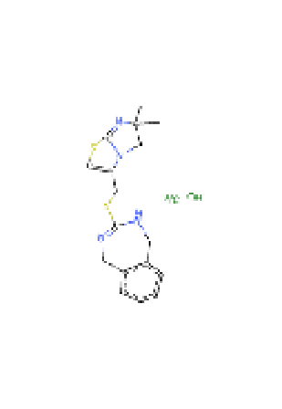 CC1(C)CN2C(CSC3=NCc4ccccc4CN3)=CSC2=N1.Cl.Cl